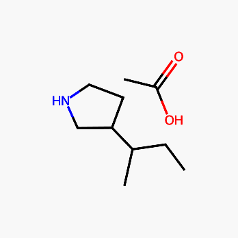 CC(=O)O.CCC(C)C1CCNC1